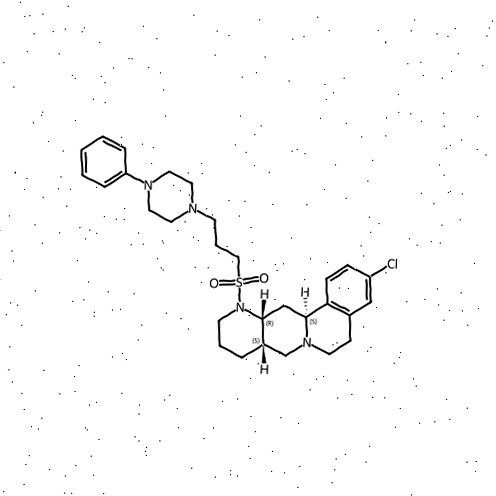 O=S(=O)(CCCN1CCN(c2ccccc2)CC1)N1CCC[C@H]2CN3CCc4cc(Cl)ccc4[C@@H]3C[C@H]21